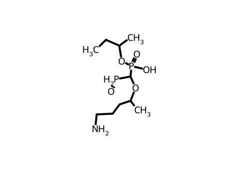 CCC(C)OP(=O)(O)C(OC(C)CCCN)[PH2]=O